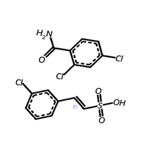 NC(=O)c1ccc(Cl)cc1Cl.O=S(=O)(O)/C=C/c1cccc(Cl)c1